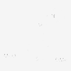 COc1ccc2c(c1)-c1sc3cc(OC)ccc3c1C2c1ccc(OCCN2CCCC2)cc1